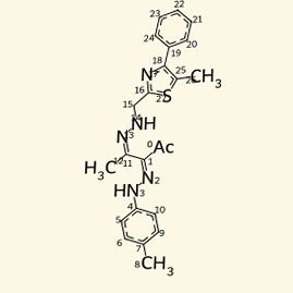 CC(=O)C(=N/Nc1ccc(C)cc1)/C(C)=N\NCc1nc(-c2ccccc2)c(C)s1